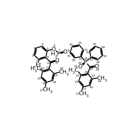 CCc1cccc(O[PH2]=O)c1C(=O)c1c(C)cc(C)cc1C.Cc1cc(C)c(C(=O)P(=O)(c2ccccc2)c2ccccc2)c(C)c1